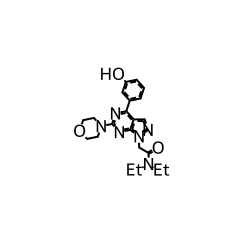 CCN(CC)C(=O)Cn1ncc2c(-c3cccc(O)c3)nc(N3CCOCC3)nc21